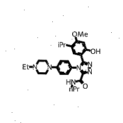 CCCNC(=O)c1nnc(-c2cc(C(C)C)c(OC)cc2O)n1-c1ccc(N2CCN(CC)CC2)cc1